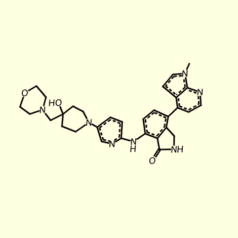 Cn1ccc2c(-c3ccc(Nc4ccc(N5CCC(O)(CN6CCOCC6)CC5)cn4)c4c3CNC4=O)ccnc21